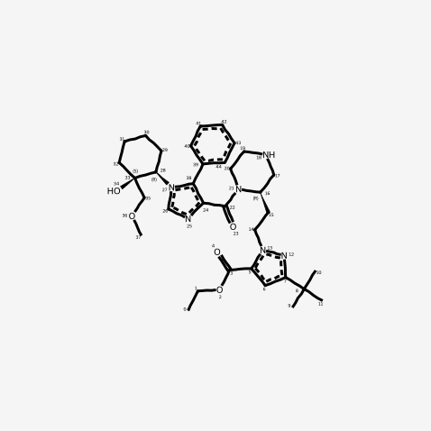 CCOC(=O)c1cc(C(C)(C)C)nn1CC[C@@H]1CNCCN1C(=O)c1ncn([C@@H]2CCCC[C@@]2(O)COC)c1-c1ccccc1